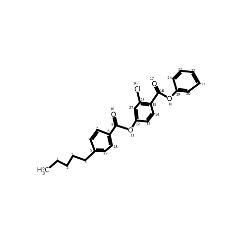 CCCCCc1ccc(C(=O)Oc2ccc(C(=O)Oc3ccccc3)c(Cl)c2)cc1